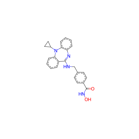 O=C(NO)c1ccc(CNC2=Nc3ccccc3N(C3CC3)c3ccccc32)cc1